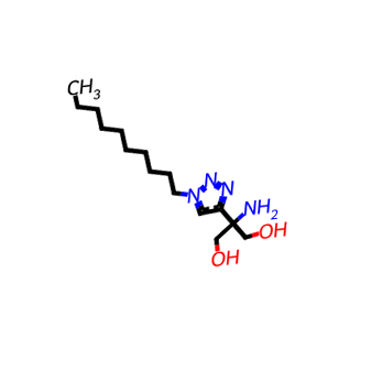 CCCCCCCCCCn1cc(C(N)(CO)CO)nn1